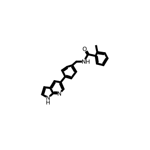 Cc1ccccc1C(=O)NCc1ccc(-c2cnc3[nH]ccc3c2)cc1